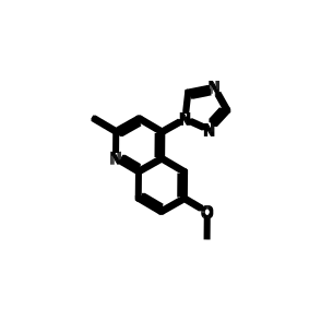 COc1ccc2nc(C)cc(-n3cncn3)c2c1